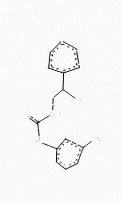 CSc1cccc(NC(=N)NCC(Cl)c2ccccc2)c1